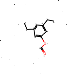 CCc1cc(CC)cc(O[C]=O)c1